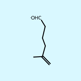 C=C(C)CCC[C]=O